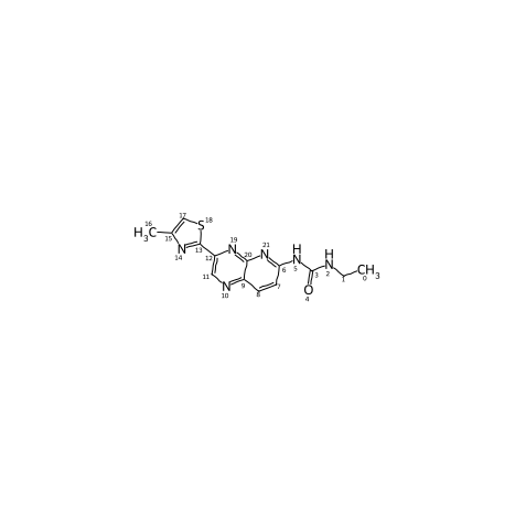 CCNC(=O)Nc1ccc2ncc(-c3nc(C)cs3)nc2n1